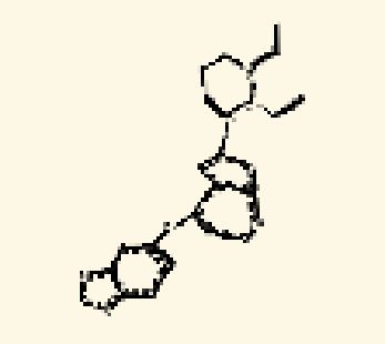 CC[C@@H]1[C@@H](c2cc3c(Nc4ccc5scnc5c4)ccnc3s2)CCCN1CC